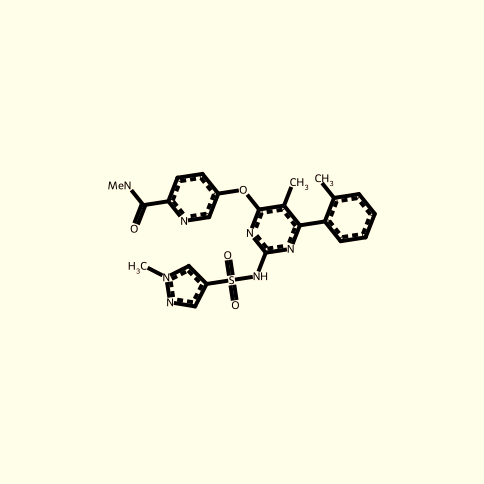 CNC(=O)c1ccc(Oc2nc(NS(=O)(=O)c3cnn(C)c3)nc(-c3ccccc3C)c2C)cn1